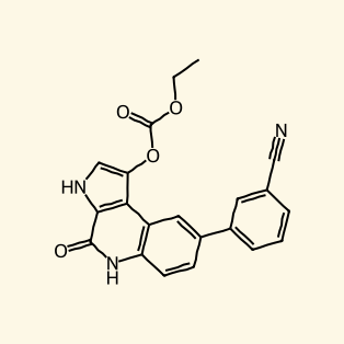 CCOC(=O)Oc1c[nH]c2c(=O)[nH]c3ccc(-c4cccc(C#N)c4)cc3c12